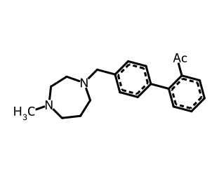 CC(=O)c1ccccc1-c1ccc(CN2CCCN(C)CC2)cc1